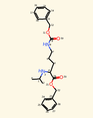 CC(C)NC(CCCNC(=O)OCc1ccccc1)C(=O)OCc1ccccc1